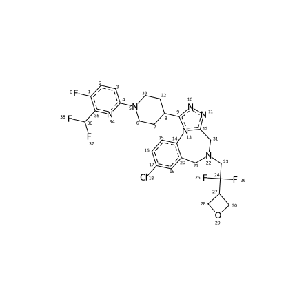 Fc1ccc(N2CCC(c3nnc4n3-c3ccc(Cl)cc3CN(CC(F)(F)C3COC3)C4)CC2)nc1C(F)F